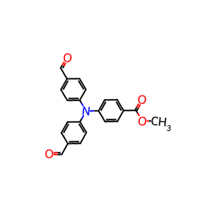 COC(=O)c1ccc(N(c2ccc(C=O)cc2)c2ccc(C=O)cc2)cc1